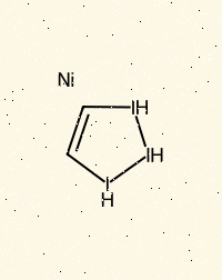 C1=C[IH][IH][IH]1.[Ni]